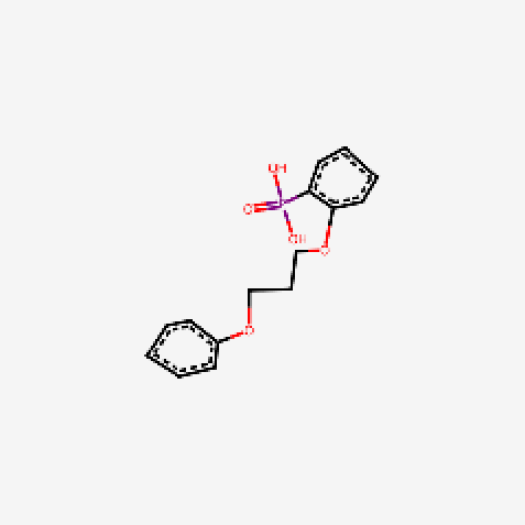 O=P(O)(O)c1ccccc1OCCCOc1ccccc1